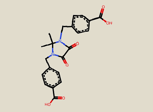 CC1(C)N(Cc2ccc(C(=O)O)cc2)C(=O)C(=O)N1Cc1ccc(C(=O)O)cc1